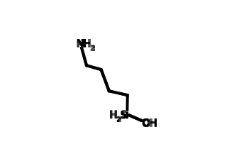 NCCCC[SiH2]O